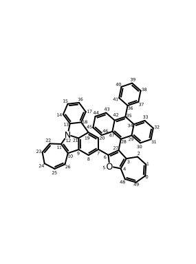 C1=CCc2c(oc(-c3cc4c5c(n6c7ccccc7c(c3)c46)C=CCC=C5)c2-c2c3ccccc3c(-c3ccccc3)c3ccccc23)C=C1